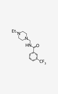 CCN1CCN(CNC(=O)c2cccc(C(F)(F)F)c2)CC1